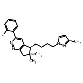 Cc1ccn(CCCC[C@@H]2c3cc(-c4ccccc4F)nnc3CC2(C)C)n1